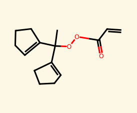 C=CC(=O)OOC(C)(C1=CCCC1)C1=CCCC1